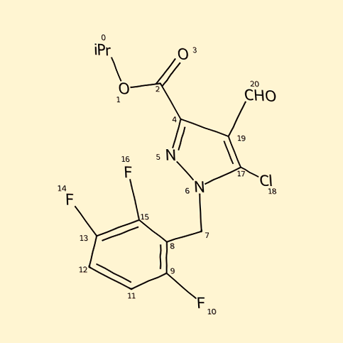 CC(C)OC(=O)c1nn(Cc2c(F)ccc(F)c2F)c(Cl)c1C=O